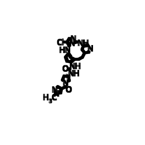 Cn1cc(C(=O)N2CC[C@H](NC(=O)Nc3ccc4cc3CCC3C=NC=C(C3)Nc3ncc(Cl)c(n3)N4)C2)cn1